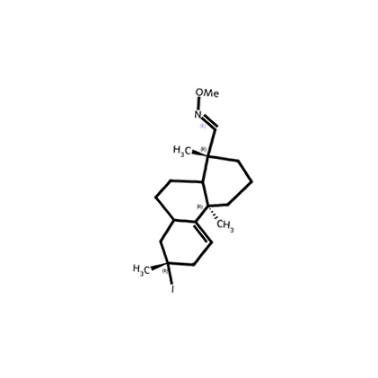 CO/N=C/[C@]1(C)CCC[C@@]2(C)C3=CC[C@](C)(I)CC3CCC21